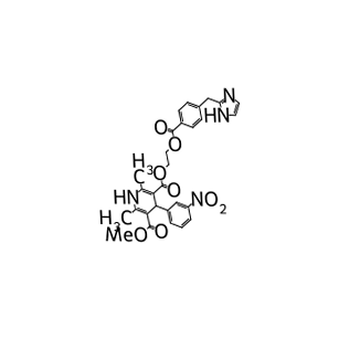 COC(=O)C1=C(C)NC(C)=C(C(=O)OCCOC(=O)c2ccc(Cc3ncc[nH]3)cc2)C1c1cccc([N+](=O)[O-])c1